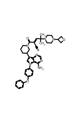 CC(C)(C=C(C#N)C(=O)N1CCCC(c2cn(-c3ccc(Oc4ccccc4)cc3)c3c(N)ncnc23)C1)N1CCN(C2COC2)CC1